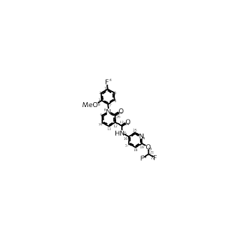 COc1cc(F)ccc1-n1cccc(C(=O)Nc2ccc(OC(F)F)nc2)c1=O